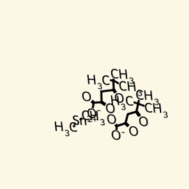 CC(C)(C)C(=O)CC(=O)C(=O)[O-].CC(C)(C)C(=O)CC(=O)C(=O)[O-].[CH3][Sn+2][CH3]